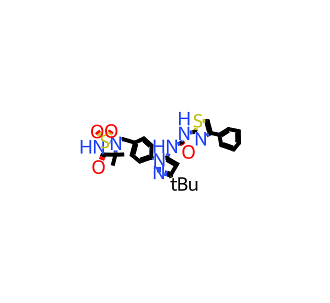 CC(C)(C)c1cc(NC(=O)Nc2nc(-c3ccccc3)cs2)n(-c2ccc(CN3C(C)(C)C(=O)NS3(=O)=O)cc2)n1